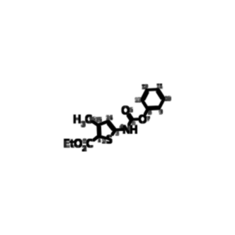 CCOC(=O)c1sc(NC(=O)Oc2ccccc2)cc1C